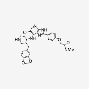 CNC(=O)COc1ccc(-c2nc3c(NC4CCNCC4Cc4ccc5c(c4)OCO5)c(Cl)cnc3[nH]2)cc1